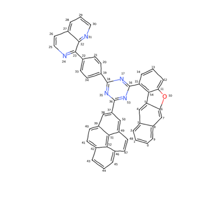 c1ccc2cc3c(cc2c1)oc1cccc(-c2nc(-c4ccc(-c5nccc6cccnc56)cc4)nc(-c4cc5ccc6cccc7ccc(c4)c5c67)n2)c13